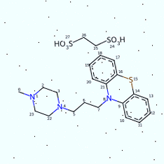 CN1CCN(CCCN2c3ccccc3Sc3ccccc32)CC1.O=S(=O)(O)CCS(=O)(=O)O